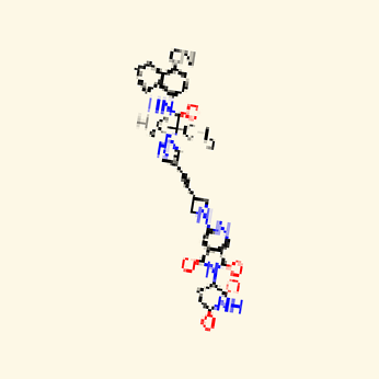 CC(C)(C(=O)Nc1ccc(C#N)c2ccccc12)n1cc(C#CC2CN(c3cc4c(cn3)C(=O)N(C3CCC(=O)NC3=O)C4=O)C2)cn1